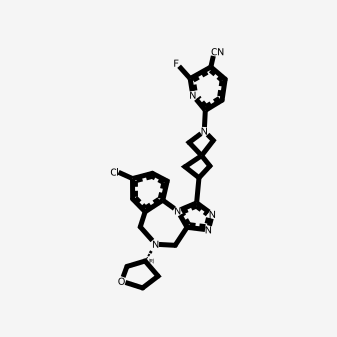 N#Cc1ccc(N2CC3(CC(c4nnc5n4-c4ccc(Cl)cc4CN([C@@H]4CCOC4)C5)C3)C2)nc1F